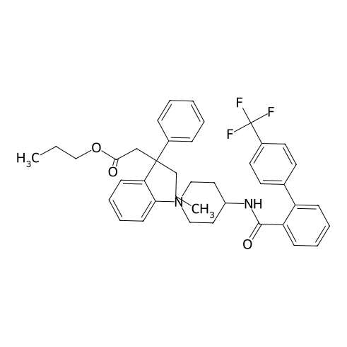 CCCOC(=O)CC(CCC)(c1ccccc1)c1ccccc1N1CCC(NC(=O)c2ccccc2-c2ccc(C(F)(F)F)cc2)CC1